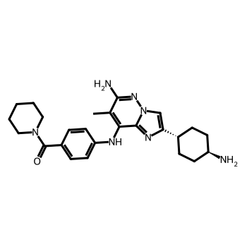 Cc1c(N)nn2cc([C@H]3CC[C@H](N)CC3)nc2c1Nc1ccc(C(=O)N2CCCCC2)cc1